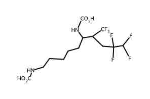 O=C(O)NCCCCCC(NC(=O)O)C(CC(F)(F)C(F)F)C(F)(F)F